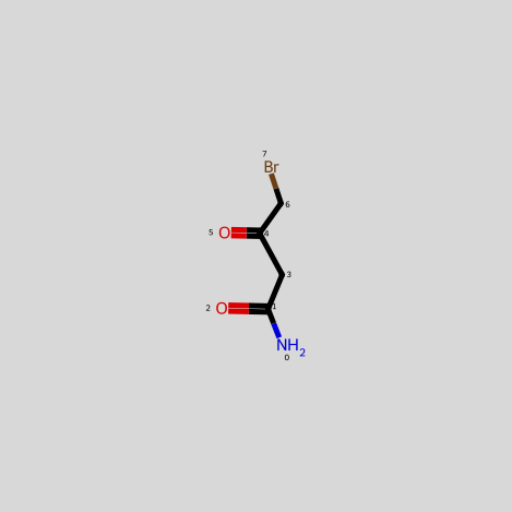 NC(=O)CC(=O)CBr